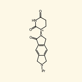 CC(C)N1Cc2cc3c(cc2C1)C(=O)N([C@@H]1CCC(=O)NC1=O)C3